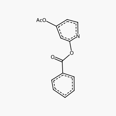 CC(=O)Oc1ccnc(OC(=O)c2ccccc2)c1